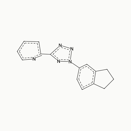 c1ccc(-c2nnn(-c3ccc4c(c3)CCC4)n2)nc1